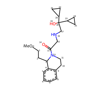 COCCC1c2ccccc2CCN1C(=O)CNCC(O)(C1CC1)C1CC1